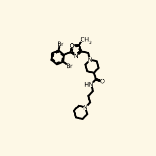 Cc1oc(-c2c(Br)cccc2Br)nc1CN1CCC(C(=O)NCCCN2CCCCC2)CC1